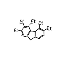 CCc1[c]c2c(c(CC)c1CC)-c1c(ccc(CC)c1CC)C2